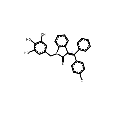 O=C1/C(=C(/c2ccccc2)c2ccc(Cl)cc2)c2ccccc2N1Cc1cc(O)c(O)c(O)c1